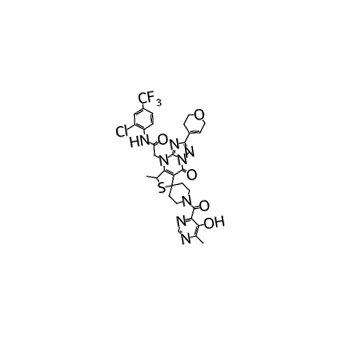 Cc1ncnc(C(=O)N2CCC3(CC2)SC(C)c2c3c(=O)n3nc(C4=CCOCC4)nc3n2CC(=O)Nc2ccc(C(F)(F)F)cc2Cl)c1O